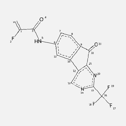 C=C(F)C(=O)Nc1ccc2c(c1)-c1cnc(C(F)(F)F)nc1C2=O